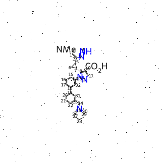 CN/C=C(\N=N)[C@@H]1C[C@H]1c1c(C(=O)O)cnn1-c1cccc(-c2cccc(CN3CCCCC3)c2)c1